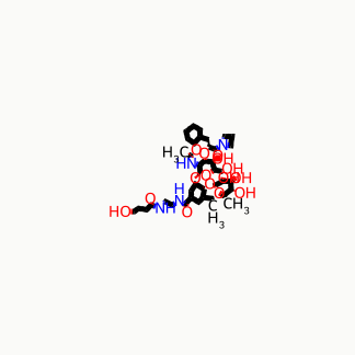 CCC1CC(C(=O)NCCNC(=O)CCCO)C[C@@H](O[C@@H]2OC(CO)[C@H](O)C(O[C@@H](CC3CCCCC3)C(=O)N3CCC3)C2NC(C)=O)C1O[C@@H]1OC(C)[C@@H](O)C(O)C1O